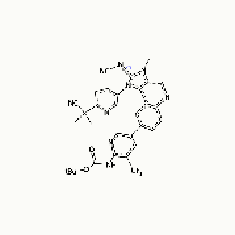 Cn1/c(=N/C#N)n(-c2ccc(C(C)(C)C#N)nc2)c2c3cc(-c4cnc(NC(=O)OC(C)(C)C)c(C(F)(F)F)c4)ccc3ncc21